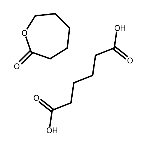 O=C(O)CCCCC(=O)O.O=C1CCCCCO1